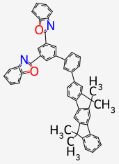 CC1(C)c2ccccc2-c2cc3c(cc21)-c1ccc(-c2cccc(-c4cc(-c5nc6ccccc6o5)cc(-c5nc6ccccc6o5)c4)c2)cc1C3(C)C